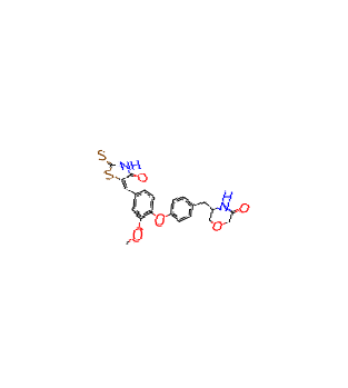 COc1cc(C=C2SC(=S)NC2=O)ccc1Oc1ccc(CC2COCC(=O)N2)cc1